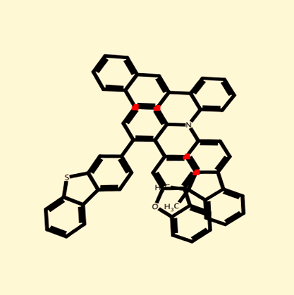 CC1(C)c2ccccc2-c2ccc(N(c3ccccc3-c3ccc4ccccc4c3)c3cccc(-c4ccc5c(c4)sc4ccccc45)c3-c3ccc4c(c3)oc3ccccc34)cc21